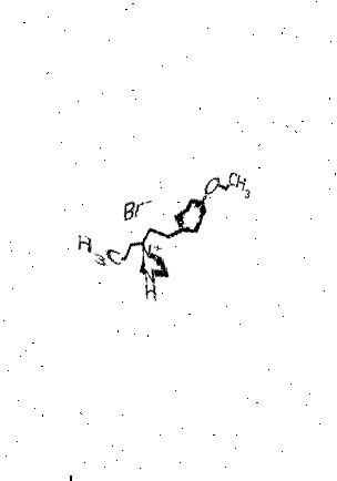 CCCC(CCc1ccc(OCC)cc1)[n+]1cc[nH]c1.[Br-]